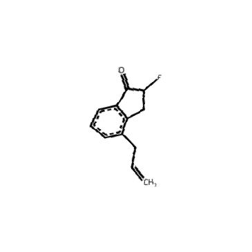 C=CCc1cccc2c1CC(F)C2=O